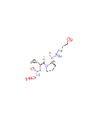 CCCCC(C(=O)N1CCC[C@H]1C(=O)NCCCCO)C(F)C(=O)NO